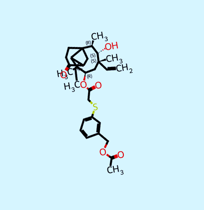 C=C[C@]1(C)C[C@@H](OC(=O)CSc2cccc(COC(C)=O)c2)[C@]2(C)C(C)CC34CC(CCC3=O)(C42)[C@@H](C)[C@@H]1O